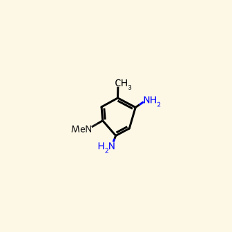 CNc1cc(C)c(N)cc1N